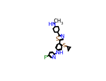 CNC1CCC(c2ncc(-c3ccc(Nc4ccc(F)cn4)cc3SC3CC3)s2)CC1